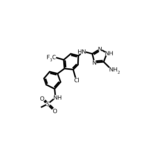 CS(=O)(=O)Nc1cccc(-c2c(Cl)cc(Nc3n[nH]c(N)n3)cc2C(F)(F)F)c1